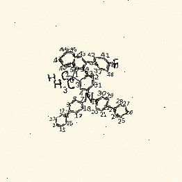 CC1(C)c2cc(N(c3ccc(-c4ccccc4)cc3)c3ccc(-c4ccccc4)cc3)ccc2-c2c(-c3ccc(F)cc3)cc3ccccc3c21